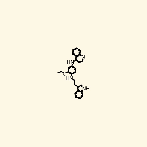 CCOc1cc(Nc2ccnc3ccccc23)ccc1NCCc1c[nH]c2ccccc12